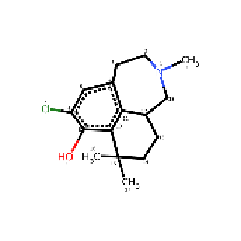 CN1CCc2cc(Cl)c(O)c3c2C(CCC3(C)C)C1